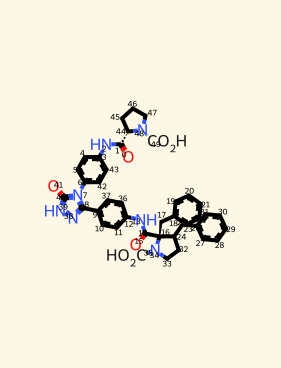 O=C(Nc1ccc(-n2c(-c3ccc(NC(=O)[C@]4(Cc5ccccc5)C(Cc5ccccc5)CCN4C(=O)O)cc3)n[nH]c2=O)cc1)[C@@H]1CCCN1C(=O)O